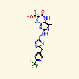 Cc1nc(NCC2=NC(Cc3ccc(C(F)(F)F)nc3)N=C2)nc2c1NC(=O)[C@H]([C@H](C)O)N2C